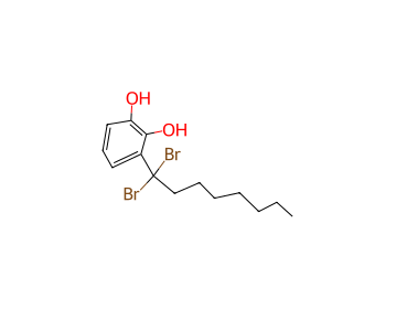 CCCCCCCC(Br)(Br)c1cccc(O)c1O